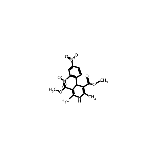 COC(=O)C1=C(C)NC(C)=C(C(=O)OC)C1c1ccc([N+](=O)[O-])cc1[N+](=O)[O-]